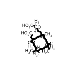 C=CC1=C(C)c2cc3[nH]c(cc4nc(cc5[nH]c(cc1n2)c(C)c5CCC(=O)O)C(CCC(=O)N[C@@H](C)C(=O)O)=C4C)c(C)c3C=C